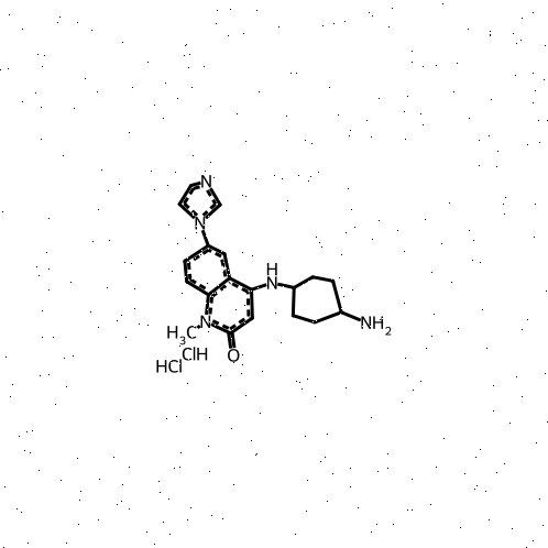 Cl.Cl.Cn1c(=O)cc(NC2CCC(N)CC2)c2cc(-n3ccnc3)ccc21